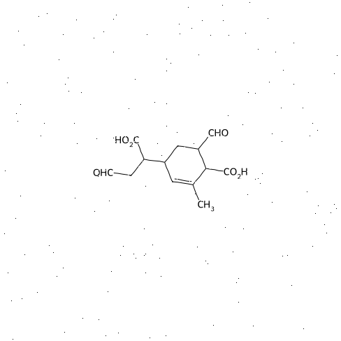 CC1=CC(C(CC=O)C(=O)O)CC(C=O)C1C(=O)O